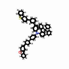 c1ccc(C2(c3ccccc3)c3ccccc3-c3c(N(c4ccc(-c5ccc(-c6ccc7oc8ccccc8c7c6)cc5)cc4)c4ccc(-c5cccc(-c6ccc7sc8ccccc8c7c6)c5)cc4)cccc32)cc1